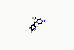 C[C@@H]1CNCCN1Cc1ccc(I)nc1